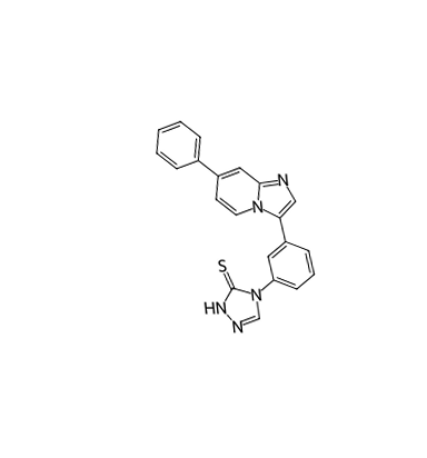 S=c1[nH]ncn1-c1cccc(-c2cnc3cc(-c4ccccc4)ccn23)c1